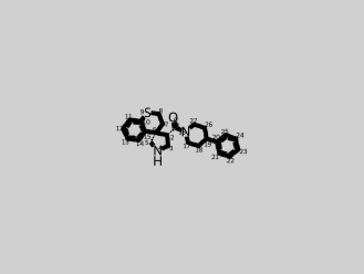 O=C([C@@H]1CNC[C@]12CCSc1ccccc12)N1CCC(c2ccccc2)CC1